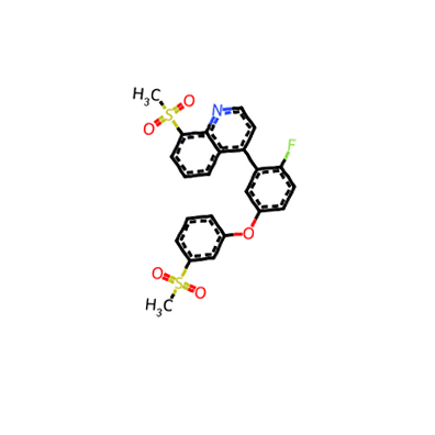 CS(=O)(=O)c1cccc(Oc2ccc(F)c(-c3ccnc4c(S(C)(=O)=O)cccc34)c2)c1